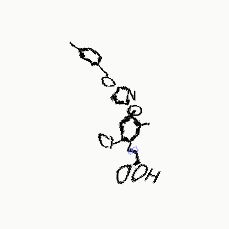 Cc1ccc(COc2ccc(Oc3cc(Cl)c(/C=C/C(=O)O)cc3C)nc2)cc1